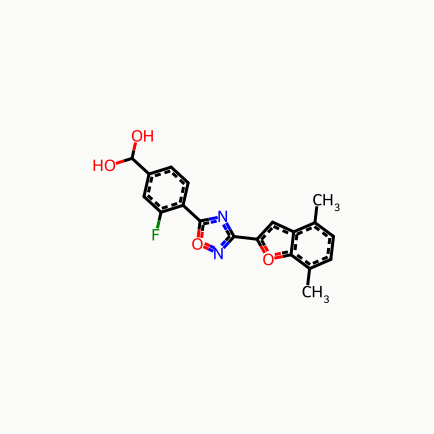 Cc1ccc(C)c2oc(-c3noc(-c4ccc(C(O)O)cc4F)n3)cc12